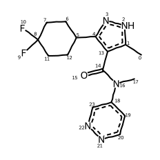 Cc1[nH]nc(C2CCC(F)(F)CC2)c1C(=O)N(C)c1ccnnc1